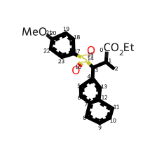 CCOC(=O)C(C)C(c1ccc2ccccc2c1)S(=O)(=O)c1ccc(OC)cc1